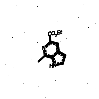 CCOC(=O)c1cc2cc[nH]c2c(C)n1